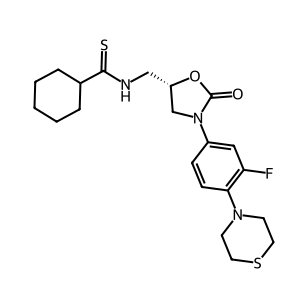 O=C1O[C@@H](CNC(=S)C2CCCCC2)CN1c1ccc(N2CCSCC2)c(F)c1